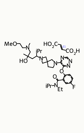 CCN(C(=O)c1cc(F)ccc1Oc1nncnc1N1CCC2(C1)CN(C(CC(C)(O)CN(C)CCOC)C(C)C)C2)C(C)C.O=C(O)/C=C/C(=O)O